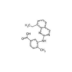 CCc1cccc2cnc(Nc3cc(C(=O)O)ccc3C)nc12